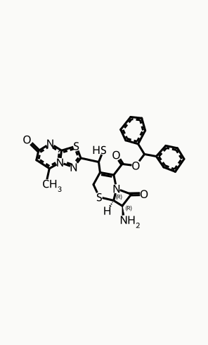 Cc1cc(=O)nc2sc(C(S)C3=C(C(=O)OC(c4ccccc4)c4ccccc4)N4C(=O)[C@@H](N)[C@H]4SC3)nn12